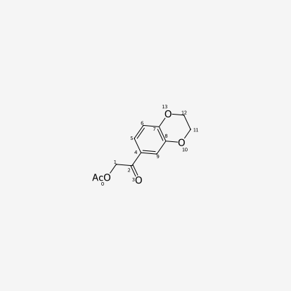 CC(=O)OCC(=O)c1ccc2c(c1)OCCO2